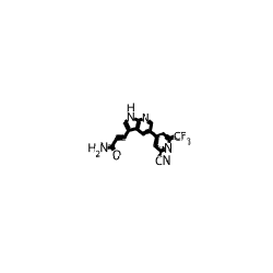 N#Cc1cc(-c2cnc3[nH]cc(C=CC(N)=O)c3c2)cc(C(F)(F)F)n1